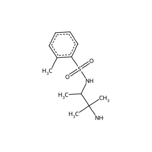 Cc1ccccc1S(=O)(=O)NC(C)C(C)(C)[NH]